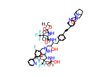 COC(=O)NC(C(=O)N[C@@H](Cc1ccc(C#Cc2ccc(N3CC4CCC(C3)N4C3COC3)nc2)cc1)[C@@H](O)CN(Cc1c(F)cc(-c2ccccn2)cc1F)NC(=O)[C@@H](NC(=O)O)C(C)(C)C(F)(F)F)C(C)(C)C(F)(F)F